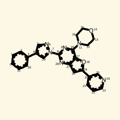 c1ccc(-c2cnn(-c3nc(N4CCOCC4)c4oc(-c5cccnc5)cc4n3)c2)cc1